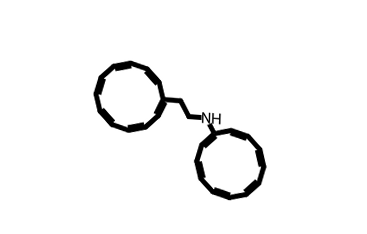 C1=C\C=C/C=C\C(CCNC2=C/C=C\C=C/C=C\C=C/C=C\2)=C/C=C\C=C/1